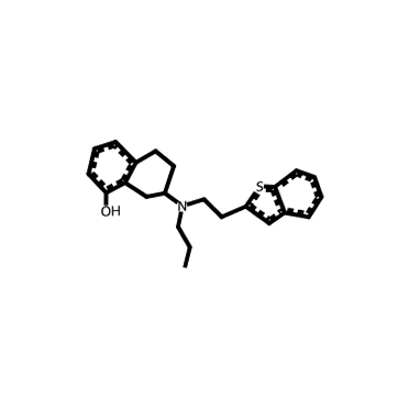 CCCN(CCc1cc2ccccc2s1)C1CCc2cccc(O)c2C1